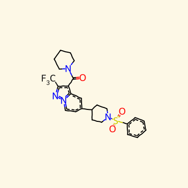 O=C(c1c(C(F)(F)F)nn2ccc(C3CCN(S(=O)(=O)c4ccccc4)CC3)cc12)N1CCCCC1